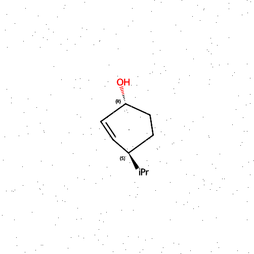 CC(C)[C@H]1C=C[C@H](O)CC1